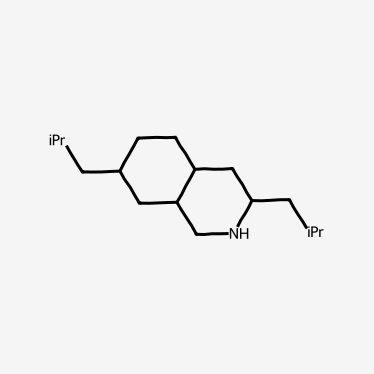 CC(C)CC1CCC2CC(CC(C)C)NCC2C1